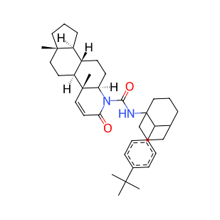 CC(C)(C)c1ccc(C2C3CCCC2(NC(=O)N2C(=O)C=C[C@]4(C)[C@H]5CC[C@]6(C)CCC[C@H]6[C@@H]5CC[C@@H]24)CCC3)cc1